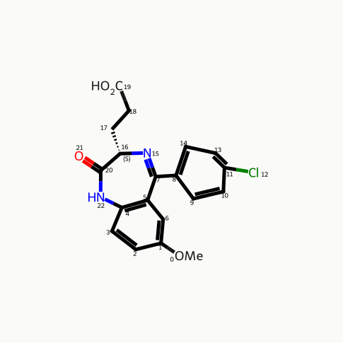 COc1ccc2c(c1)C(c1ccc(Cl)cc1)=N[C@@H](CCC(=O)O)C(=O)N2